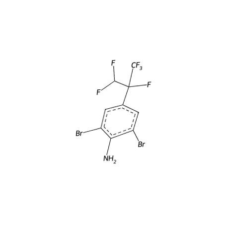 Nc1c(Br)cc(C(F)(C(F)F)C(F)(F)F)cc1Br